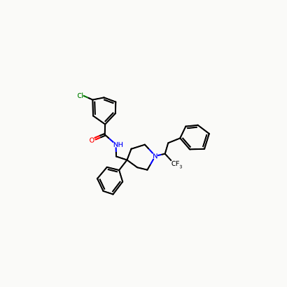 O=C(NCC1(c2ccccc2)CCN(C(Cc2ccccc2)C(F)(F)F)CC1)c1cccc(Cl)c1